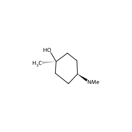 CN[C@H]1CC[C@@](C)(O)CC1